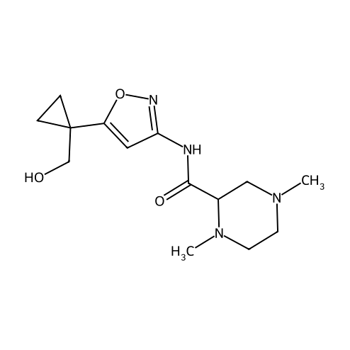 CN1CCN(C)C(C(=O)Nc2cc(C3(CO)CC3)on2)C1